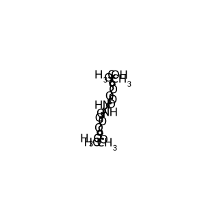 CC(C)(O)C(=O)c1ccc(OCCOC(=O)CC(=O)NCCNC(=O)CC(=O)OCCOc2ccc(C(=O)C(C)(C)O)cc2)cc1